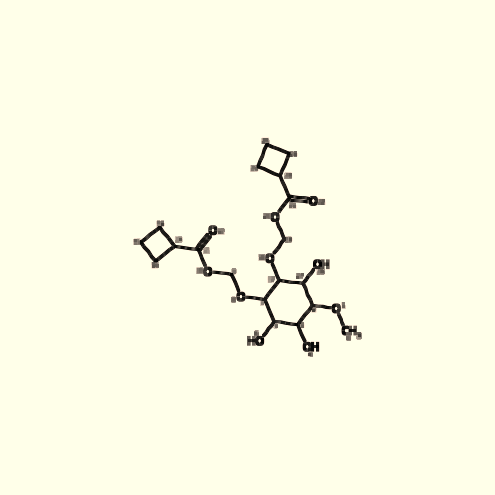 COC1C(O)C(O)C(OCOC(=O)C2CCC2)C(OCOC(=O)C2CCC2)C1O